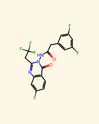 O=C(Cc1cc(F)cc(F)c1)Nn1c(CC(F)(F)F)nc2cc(F)ccc2c1=O